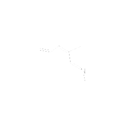 C=C/C=C(C)\C=N\C